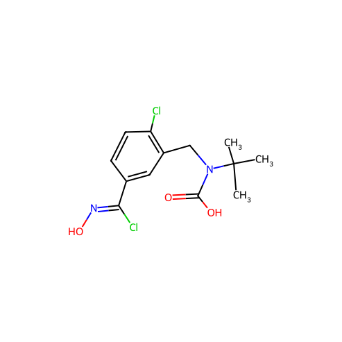 CC(C)(C)N(Cc1cc(C(Cl)=NO)ccc1Cl)C(=O)O